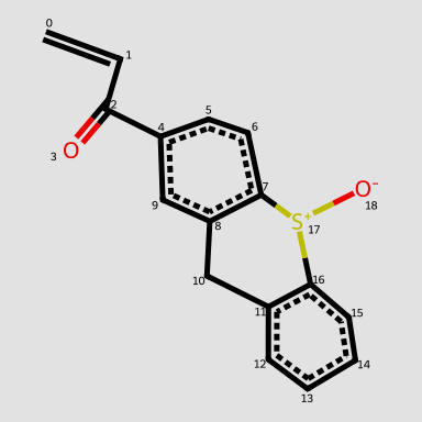 C=CC(=O)c1ccc2c(c1)Cc1ccccc1[S+]2[O-]